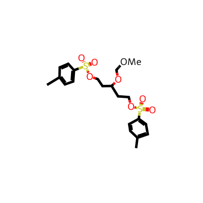 COCOC(CCOS(=O)(=O)c1ccc(C)cc1)CCOS(=O)(=O)c1ccc(C)cc1